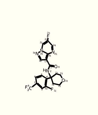 O=C(NC1(c2ccc(C(F)(F)F)cc2F)CCOCC1)c1cnn2cc(F)cnc12